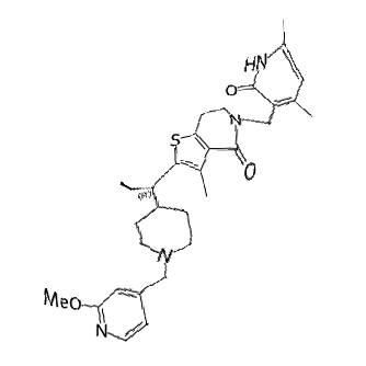 COc1cc(CN2CCC([C@@H](C)c3sc4c(c3C)C(=O)N(Cc3c(C)cc(C)[nH]c3=O)CC4)CC2)ccn1